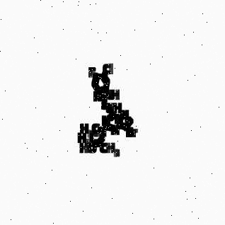 CN(CC(C)(C)O)c1nc(NCc2nc3cc(F)c(Cl)cc3[nH]2)n2ncc(Br)c2n1